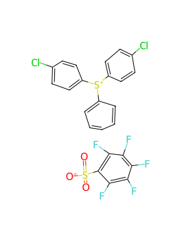 Clc1ccc([S+](c2ccccc2)c2ccc(Cl)cc2)cc1.O=S(=O)([O-])c1c(F)c(F)c(F)c(F)c1F